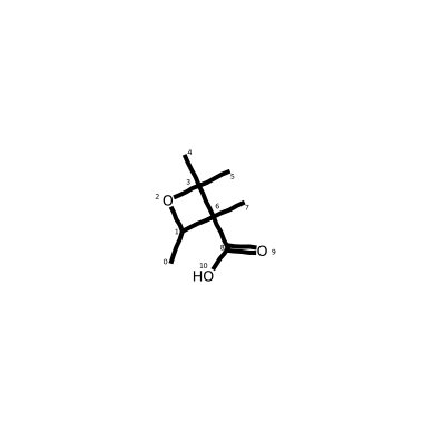 CC1OC(C)(C)C1(C)C(=O)O